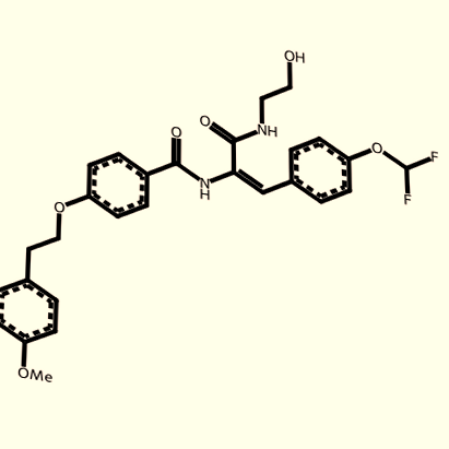 COc1ccc(CCOc2ccc(C(=O)NC(=Cc3ccc(OC(F)F)cc3)C(=O)NCCO)cc2)cc1